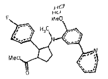 COC(=O)C1CCC(N(C)c2cc(-c3ccccn3)ccc2OC)C1c1ccc(F)cc1.Cl.Cl